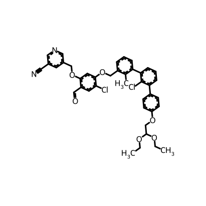 CCOC(COc1ccc(-c2cccc(-c3cccc(COc4cc(OCc5cncc(C#N)c5)c(C=O)cc4Cl)c3C)c2Cl)cc1)OCC